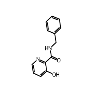 O=C(NCc1ccccc1)c1ncccc1O